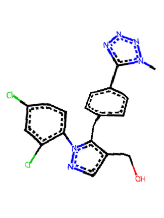 Cn1nnnc1-c1ccc(-c2c(CO)cnn2-c2ccc(Cl)cc2Cl)cc1